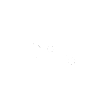 CC#C[C@@H](CC(=O)O)c1ccc(OC2CCC(c3ccccc3)CC2)cc1